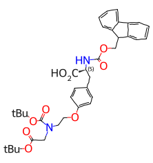 CC(C)(C)OC(=O)CN(CCOc1ccc(C[C@H](NC(=O)OCC2c3ccccc3-c3ccccc32)C(=O)O)cc1)C(=O)OC(C)(C)C